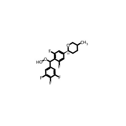 CC1CC[C@@H](c2cc(F)c(C(OO)c3cc(F)c(F)c(F)c3)c(F)c2)OC1